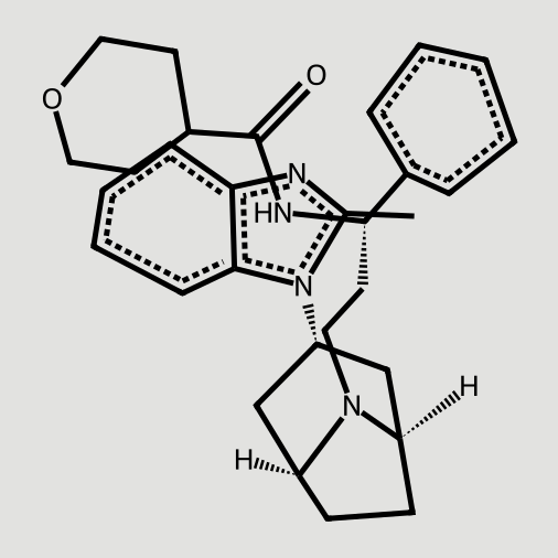 Cc1nc2ccccc2n1[C@@H]1C[C@H]2CC[C@@H](C1)N2CC[C@H](NC(=O)C1CCOCC1)c1ccccc1